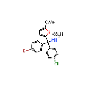 COc1ccc(C(NC(=O)O)(c2ccc(Cl)cc2)c2ccc(Br)cc2)o1